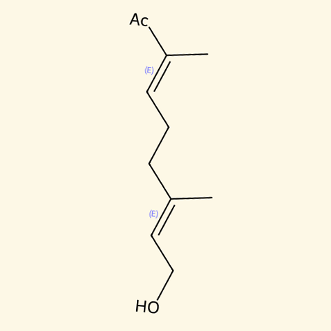 CC(=O)/C(C)=C/CC/C(C)=C/CO